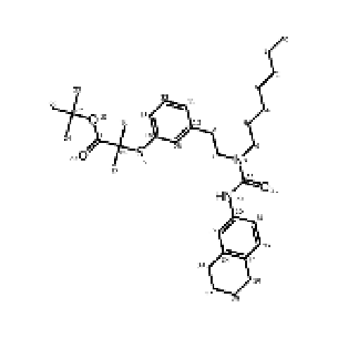 CCCCCCCN(CCc1cccc(SC(C)(C)C(=O)OC(C)(C)C)c1)C(=O)Nc1ccc2c(c1)CCCC2